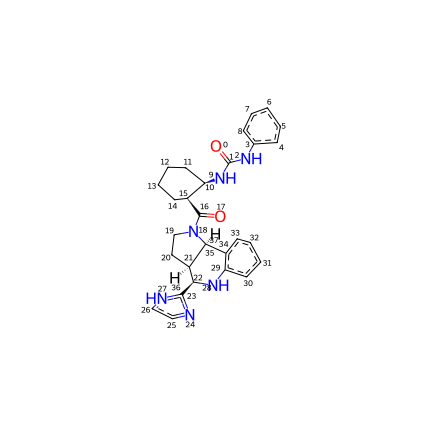 O=C(Nc1ccccc1)N[C@@H]1CCCC[C@@H]1C(=O)N1CC[C@@H]2[C@H](c3ncc[nH]3)Nc3ccccc3[C@@H]21